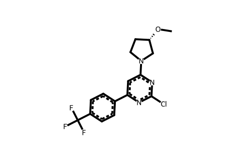 CO[C@H]1CCN(c2cc(-c3ccc(C(F)(F)F)cc3)nc(Cl)n2)C1